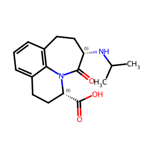 CC(C)N[C@H]1CCc2cccc3c2N(C1=O)[C@H](C(=O)O)CC3